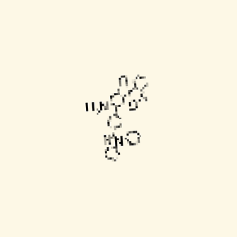 Nc1cc2c(cc1-c1ccc(-c3nc4ccccc4n3-c3ccccc3)cc1)C1(c3ccccc3Sc3ccccc31)c1ccccc1-2